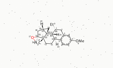 CC[C@@H]1Cc2cc(OC)ccc2[C@H]2CC[C@]3(C)[C@]4(CO4)C[C@@H]4C[C@]43[C@H]12